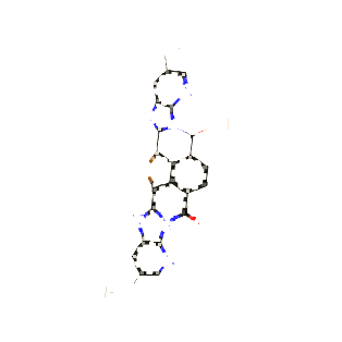 Cc1cnc2c(c1)nc1n2C(O)c2ccc3c(=O)n4c5ncc(C)cc5nc4c4sc-1c2c34